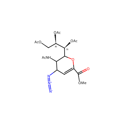 COC(=O)C1=CC(N=[N+]=[N-])C(NC(C)=O)C([C@H](OC(C)=O)[C@@H](COC(C)=O)OC(C)=O)O1